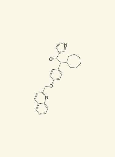 O=C(C(c1ccc(OCc2ccc3ccccc3n2)cc1)C1CCCCCC1)n1ccnc1